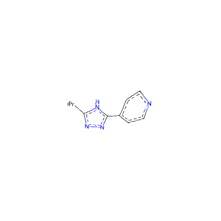 CC(C)c1nnc(-c2ccncc2)[nH]1